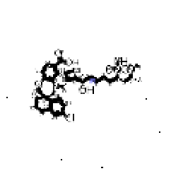 CO[C@H](C)C[C@@H](CC/C=C/[C@H](O)[C@@H]1CC[C@H]1CN1C[C@@]2(CCCc3cc(Cl)ccc32)COc2ccc(C(=O)O)cc21)S(N)(=O)=O